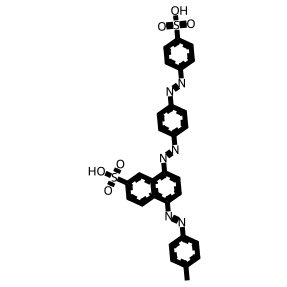 Cc1ccc(N=Nc2ccc(N=Nc3ccc(N=Nc4ccc(S(=O)(=O)O)cc4)cc3)c3cc(S(=O)(=O)O)ccc23)cc1